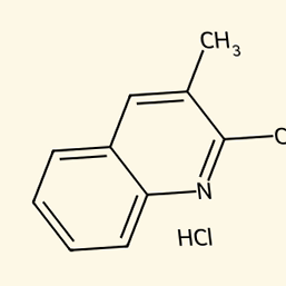 Cc1cc2ccccc2nc1Cl.Cl